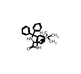 C[Si](C)(C)C#C[C@H]1NC(=O)[C@H]1NC(c1ccccc1)(c1ccccc1)c1ccccc1